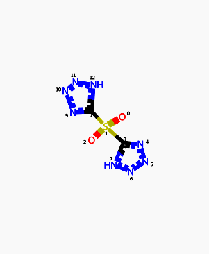 O=S(=O)(c1nnn[nH]1)c1nnn[nH]1